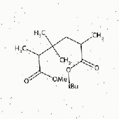 COC(=O)C(C)C(C)(C)CC(C)C(=O)OC(C)(C)C